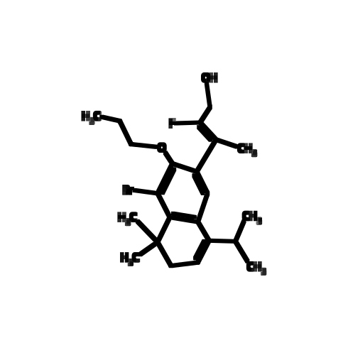 CCCOc1c(C(C)=C(F)CO)cc2c(c1Br)C(C)(C)CC=C2C(C)C